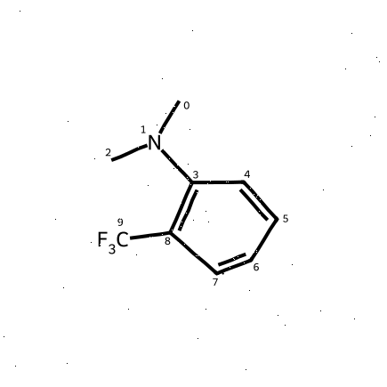 CN(C)c1ccc[c]c1C(F)(F)F